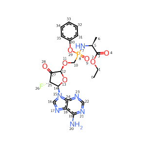 CCOC(=O)[C@H](C)NP(=O)(CO[C@H]1O[C@@H](n2cnc3c(N)ncnc32)[C@H](F)C1=O)Oc1ccccc1